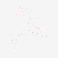 CCN(Cc1ccc[c]([Na])c1S(=O)(=O)O)c1ccc(C(=C2C=CC(=[N+](CC)Cc3cccc(S(=O)(=O)[O-])c3)C=C2)c2cccc(S(=O)(=O)O)[c]2[Na])cc1.[AlH3]